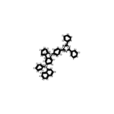 c1ccc(-c2nc(-c3ccccc3)nc(-c3ccc(-n4c5ccccc5c5cc(N(c6ccccc6)c6cccc7ccccc67)ccc54)cc3)n2)cc1